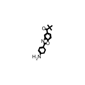 CC(C)(C)C(=O)c1ccc2oc(C3=CC=C(N)CC3)nc2c1